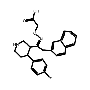 O=C(O)CON=C(Cc1ccc2ccccc2c1)C1CNCCC1c1ccc(F)cc1